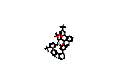 CC(C)(C)c1ccc(N(c2cccc(-c3cccc4sc5ccccc5c34)c2)c2ccccc2-c2cccc3cccc(-c4cc(C(C)(C)C)cc(C(C)(C)C)c4)c23)cc1